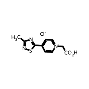 Cc1nsc(-c2cc[n+](CC(=O)O)cc2)n1.[Cl-]